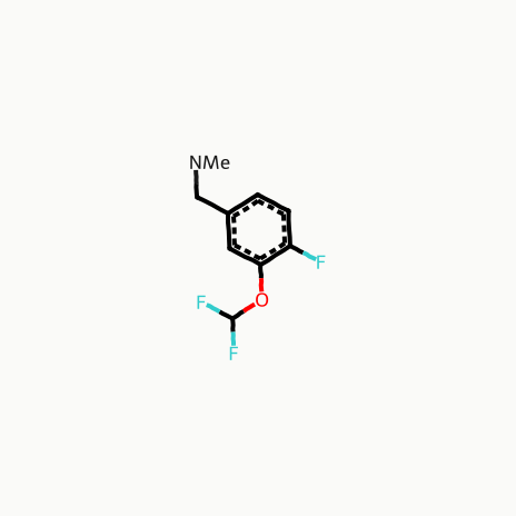 CNCc1ccc(F)c(OC(F)F)c1